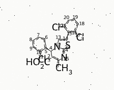 CC1=C(C(=O)O)[C@@H](c2ccccc2Cl)N2C=C(c3c(Cl)cccc3Cl)SC2=N1